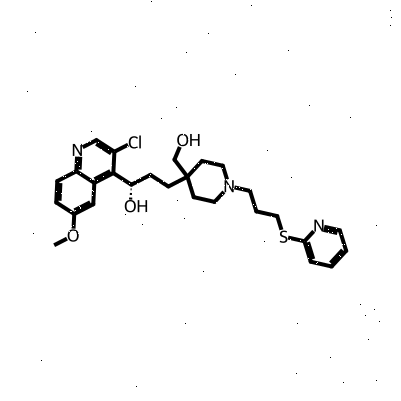 COc1ccc2ncc(Cl)c([C@@H](O)CCC3(CO)CCN(CCCSc4ccccn4)CC3)c2c1